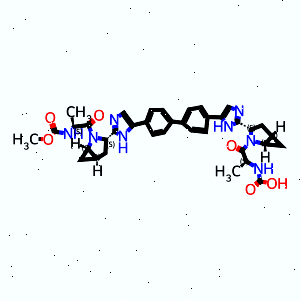 COC(=O)N[C@@H](C)C(=O)N1[C@H](c2ncc(-c3ccc(-c4ccc(-c5cnc([C@@H]6C[C@@H]7C[C@@H]7N6C(=O)[C@H](C)NC(=O)O)[nH]5)cc4)cc3)[nH]2)C[C@H]2C[C@@H]21